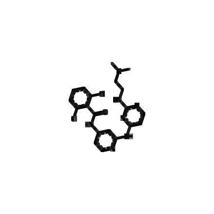 CN(C)CCNc1nccc(Nc2cc(NC(=O)c3c(Cl)cccc3Cl)ccn2)n1